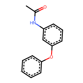 CC(=O)Nc1cccc(Oc2cc[c]cc2)c1